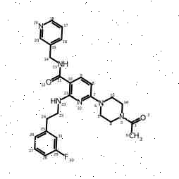 CC(=O)N1CCN(c2ccc(C(=O)NCc3cccnc3)c(NCCc3cccc(F)c3)n2)CC1